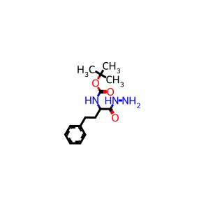 CC(C)(C)OC(=O)NC(CCc1ccccc1)C(=O)NN